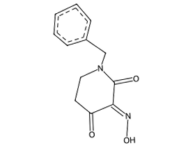 O=C1CCN(Cc2ccccc2)C(=O)C1=NO